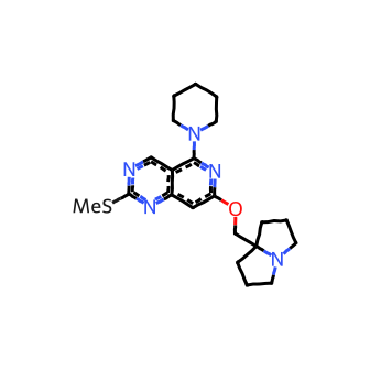 CSc1ncc2c(N3CCCCC3)nc(OCC34CCCN3CCC4)cc2n1